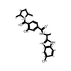 CC(NC(=O)c1ccc(C(=O)N2C(C)CCC2C)c(Cl)c1)c1nc2cc(Cl)ccc2[nH]1